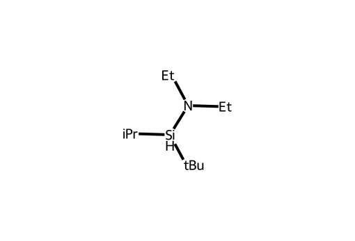 CCN(CC)[SiH](C(C)C)C(C)(C)C